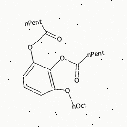 CCCCCCCCOc1cccc(OC(=O)CCCCC)c1OC(=O)CCCCC